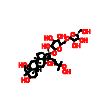 CC(C)(/C=C/C[C@](C)(O[C@@H]1O[C@H](CO[C@@H]2O[C@H](CO)[C@@H](O)[C@@H]2O)[C@@H](O)[C@H](O)[C@H]1O)[C@H]1CC[C@]2(C)[C@@H]1[C@H](O)C[C@@H]1[C@@]3(C)CC[C@H](O)C(C)(C)[C@@H]3[C@@H](O)C[C@]12C)OO